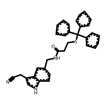 N#CCc1c[nH]c2ccc(CNC(=O)CCSC(c3ccccc3)(c3ccccc3)c3ccccc3)cc12